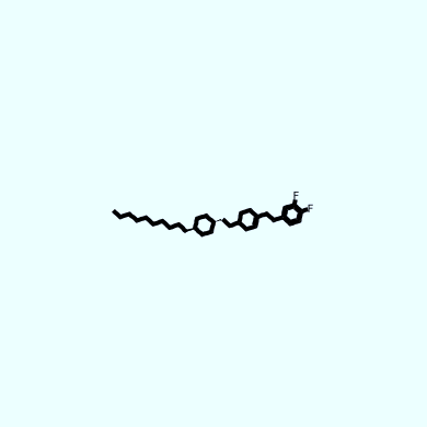 CCCCCCCCCC[C@H]1CC[C@H](CCC2CC=C(CCc3ccc(F)c(F)c3)CC2)CC1